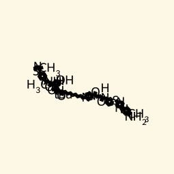 Cc1ncsc1-c1ccc([C@H](C)NC(=O)[C@@H]2C[C@@H](O)CN2C(=O)[C@@H](NC(=O)CCCCCCCCN2CCN(C(=O)CCC(=O)Nc3cccc(Sc4cnc(N5CCC(C)(N)CC5)cn4)c3)CC2)C(C)(C)C)cc1